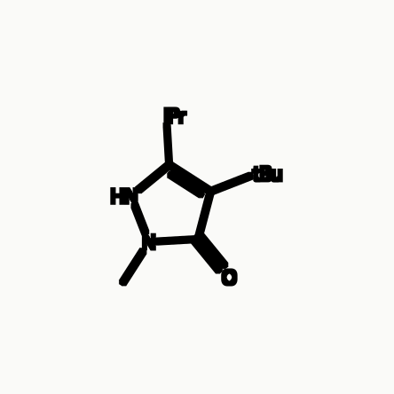 CC(C)c1[nH]n(C)c(=O)c1C(C)(C)C